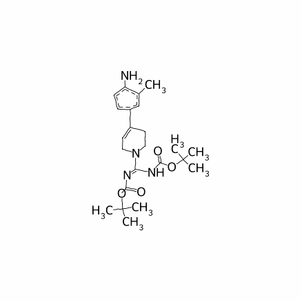 Cc1cc(C2=CCN(/C(=N/C(=O)OC(C)(C)C)NC(=O)OC(C)(C)C)CC2)ccc1N